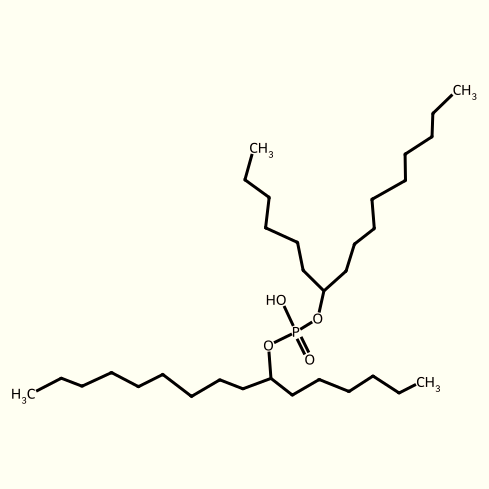 CCCCCCCCCC(CCCCCC)OP(=O)(O)OC(CCCCCC)CCCCCCCCC